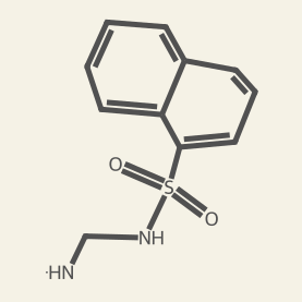 [NH]CNS(=O)(=O)c1cccc2ccccc12